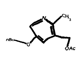 CCCCOc1cnc(C)c(COC(C)=O)c1